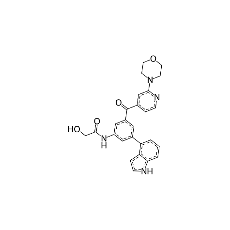 O=C(CO)Nc1cc(C(=O)c2ccnc(N3CCOCC3)c2)cc(-c2cccc3[nH]ccc23)c1